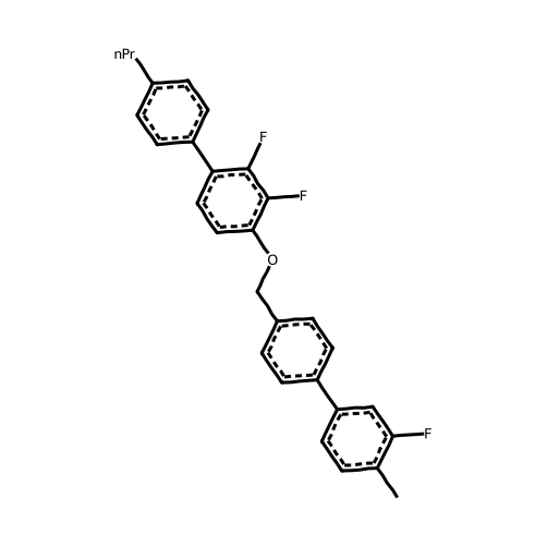 CCCc1ccc(-c2ccc(OCc3ccc(-c4ccc(C)c(F)c4)cc3)c(F)c2F)cc1